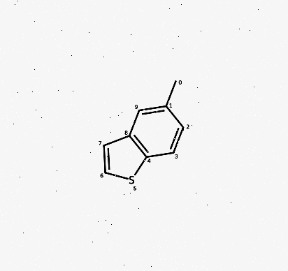 Cc1[c]cc2sccc2c1